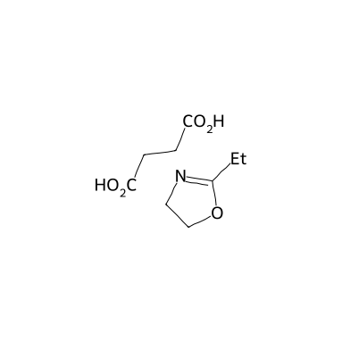 CCC1=NCCO1.O=C(O)CCC(=O)O